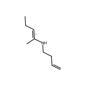 C=CCCN/C(C)=C/CC